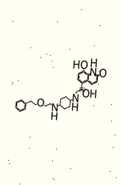 O=c1ccc2c([C@@H](O)CNC3CCC(NCCOCCc4ccccc4)CC3)ccc(O)c2[nH]1